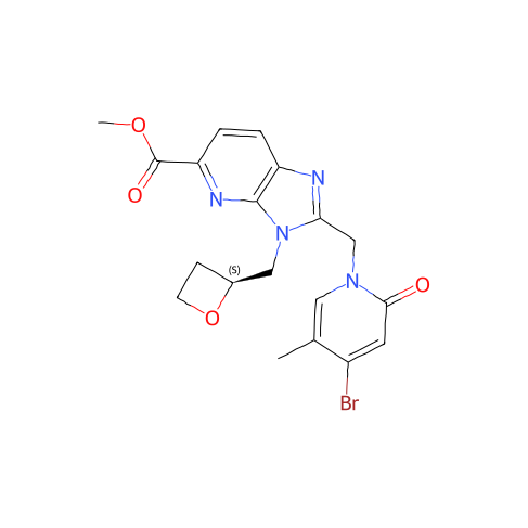 COC(=O)c1ccc2nc(Cn3cc(C)c(Br)cc3=O)n(C[C@@H]3CCO3)c2n1